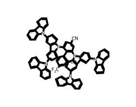 N#Cc1cc(-n2c3ccc(-n4c5ccccc5c5ccccc54)cc3c3cc(-n4c5ccccc5c5ccccc54)ccc32)c(-c2ccc(C(F)(F)F)cc2C#N)c(-n2c3ccc(-n4c5ccccc5c5ccccc54)cc3c3cc(-n4c5ccccc5c5ccccc54)ccc32)c1